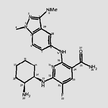 CNc1nn(C)c2ccc(Nc3nc(N[C@@H]4CCCC[C@@H]4N)c(F)cc3C(N)=O)cc12